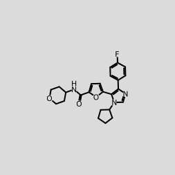 O=C(NC1CCOCC1)c1ccc(-c2c(-c3ccc(F)cc3)ncn2C2CCCC2)o1